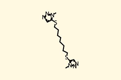 Cn1nncc1SCCCCCCCCSc1cnnn1C